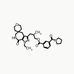 CCn1nc(C[C@@H](C)COC(=O)c2cccc(C(=O)N3CCCC3)c2)c2c1C(=O)NCC1(CCOCC1)C2